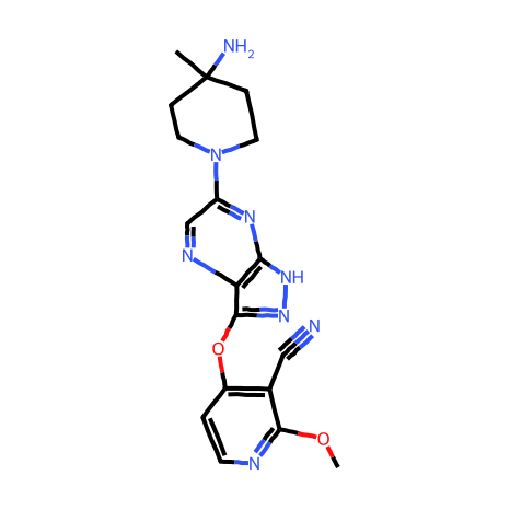 COc1nccc(Oc2n[nH]c3nc(N4CCC(C)(N)CC4)cnc23)c1C#N